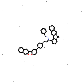 CC1(C)c2cc3ccccc3cc2-c2c(/C(=C/Cc3ccc(-c4ccc5oc6cc7ccccc7cc6c5c4)cc3)NCc3ccccc3)cccc21